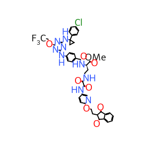 COC(=O)[C@@H](CCNC(=O)C(=O)Nc1ccc(OCCC2C(=O)c3ccccc3C2=O)nc1)NC(=O)c1ccc(Nc2nc(NC3(c4ccc(Cl)cc4)CC3)nc(OCC(F)(F)F)n2)cc1